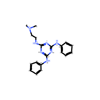 CN(C)CCNc1nc(Nc2ccccc2)nc(Nc2ccccc2)n1